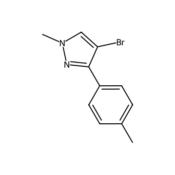 Cc1ccc(-c2nn(C)cc2Br)cc1